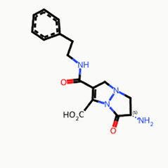 N[C@H]1CN2CC(C(=O)NCCc3ccccc3)=C(C(=O)O)N2C1=O